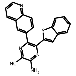 N#Cc1nc(-c2ccc3ncccc3c2)c(-c2cc3ccccc3s2)nc1N